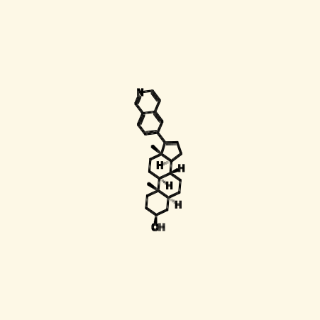 C[C@]12CC[C@H](O)C[C@@H]1CC[C@@H]1[C@@H]2CC[C@]2(C)C(c3ccc4cnccc4c3)=CC[C@@H]12